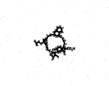 Cc1c2c(nn1C)CSCc1cc(nn1CCN(C)C)CSc1cc(c3ccccc3c1)OCCCc1c(C(=O)O)n(C)c3c-2c(Cl)ccc13